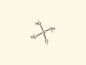 O[Si](O)(O)Cl